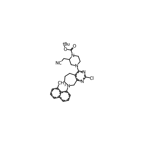 Cc1cccc2cccc(N3CCCc4c(nc(Cl)nc4N4CCN(C(=O)OC(C)(C)C)C(CC#N)C4)C3)c12